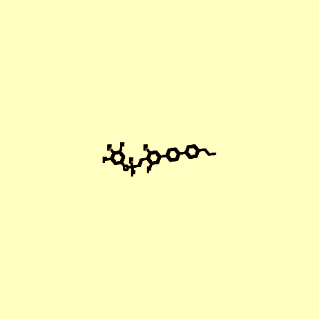 CCCc1ccc(-c2ccc(-c3cc(F)c(/C=C/C(F)(F)Oc4cc(F)c(F)c(F)c4)c(F)c3)cc2)cc1